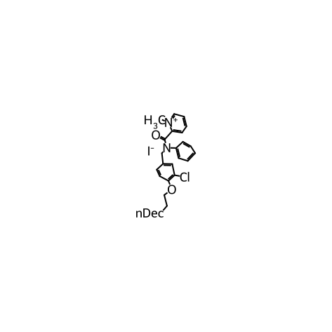 CCCCCCCCCCCCOc1ccc(CN(C(=O)c2cccc[n+]2C)c2ccccc2)cc1Cl.[I-]